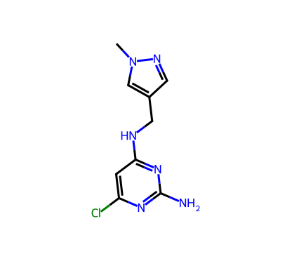 Cn1cc(CNc2cc(Cl)nc(N)n2)cn1